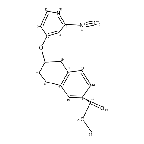 [C-]#[N+]c1cc(OC2CCc3cc(C(=O)OC)ccc3C2)ccn1